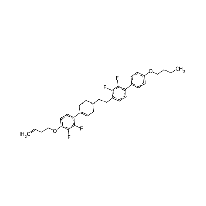 C=CCCOc1ccc(C2=CCC(CCc3ccc(-c4ccc(OCCCC)cc4)c(F)c3F)CC2)c(F)c1F